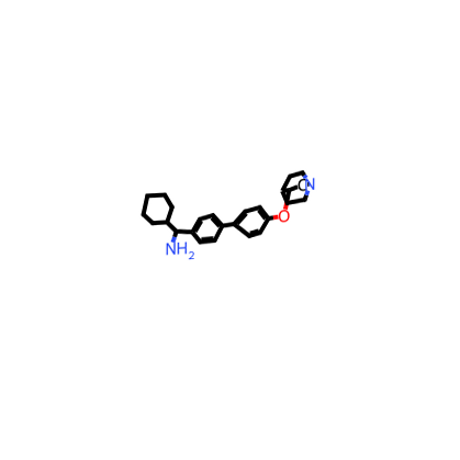 NC(c1ccc(-c2ccc(OC3CN4CCC3CC4)cc2)cc1)C1CCCCC1